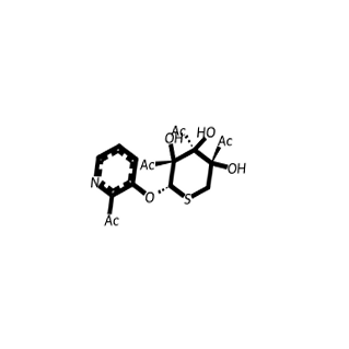 CC(=O)c1ncccc1O[C@H]1SC[C@](O)(C(C)=O)[C@@](O)(C(C)=O)[C@]1(O)C(C)=O